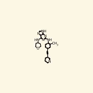 Cc1cc(C#Cc2cccnc2)ccc1Nc1nc(NC2CCOCC2)c2nc[nH]c2n1